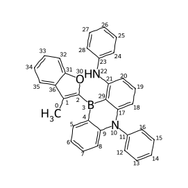 Cc1c(B2c3ccccc3N(c3ccccc3)c3cccc(Nc4ccccc4)c32)oc2ccccc12